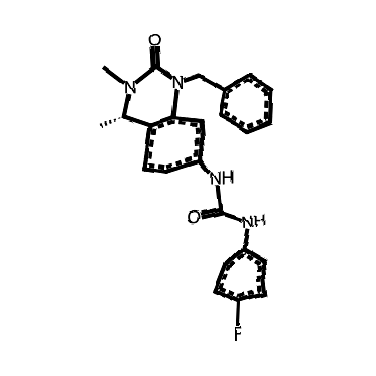 C[C@H]1c2ccc(NC(=O)Nc3ccc(F)cc3)cc2N(Cc2ccccc2)C(=O)N1C